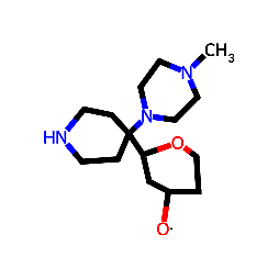 CN1CCN(C2(C3CC([O])CCO3)CCNCC2)CC1